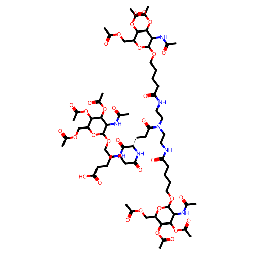 CC(=O)NC1C(OCCCCC(=O)NCCN(CCNC(=O)CCCCOC2OC(COC(C)=O)C(OC(C)=O)C(OC(C)=O)C2NC(C)=O)C(=O)CC[C@H](NC(=O)CCCCOC2OC(COC(C)=O)C(OC(C)=O)C(OC(C)=O)C2NC(C)=O)C(=O)NCCCC(=O)O)OC(COC(C)=O)C(OC(C)=O)C1OC(C)=O